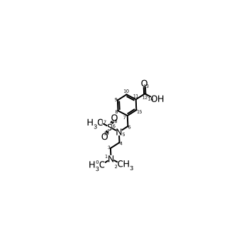 CN(C)CCN(Cc1cccc(C(=O)O)c1)S(C)(=O)=O